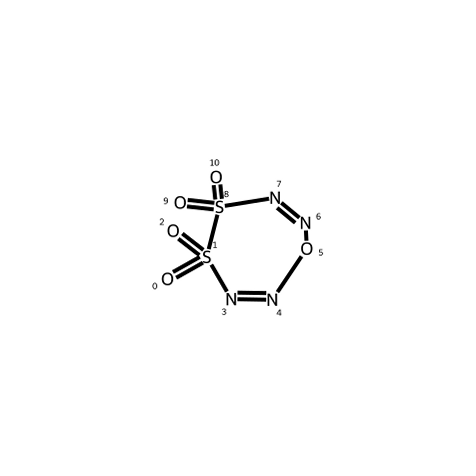 O=S1(=O)N=NON=NS1(=O)=O